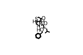 CC(C)C[C@H](OCc1ccccc1)C(=O)N1NC[C@H]2SCC(=O)[C@H]21